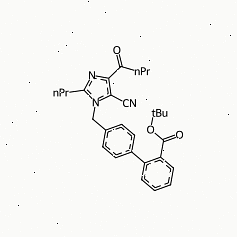 CCCC(=O)c1nc(CCC)n(Cc2ccc(-c3ccccc3C(=O)OC(C)(C)C)cc2)c1C#N